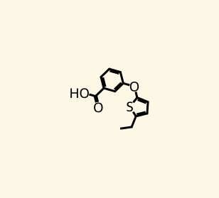 CCc1ccc(Oc2cccc(C(=O)O)c2)s1